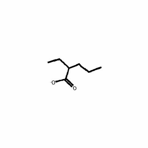 CCCC(CC)C([O])=O